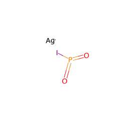 O=P(=O)I.[Ag]